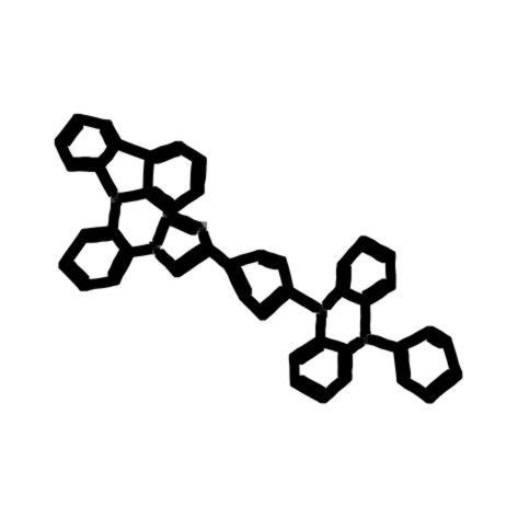 c1ccc(N2c3ccccc3N(c3ccc(-c4cn(-c5ccccc5-n5c6ccccc6c6ccccc65)nn4)cc3)c3ccccc32)cc1